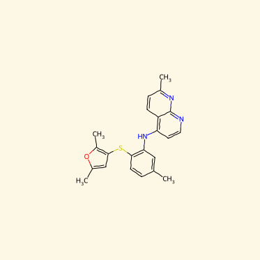 Cc1ccc(Sc2cc(C)oc2C)c(Nc2ccnc3nc(C)ccc23)c1